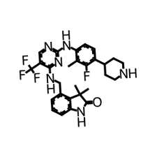 Cc1c(Nc2ncc(C(F)(F)F)c(NCc3cccc4c3C(C)(C)C(=O)N4)n2)ccc(C2CCNCC2)c1F